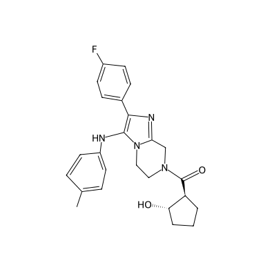 Cc1ccc(Nc2c(-c3ccc(F)cc3)nc3n2CCN(C(=O)[C@H]2CCC[C@@H]2O)C3)cc1